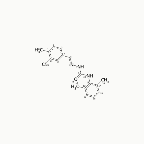 Cc1ccc(/C=N/NC(=O)Nc2c(C)cccc2C)cc1Cl